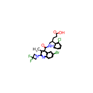 Cc1c(N2CC(F)(F)C2)nc2ccc(Br)cc2c1C(=O)NCC(CCC(=O)O)c1ccccc1Cl